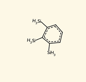 [SiH3]c1cccc([SiH3])c1[SiH3]